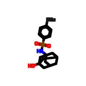 CSc1ccc(S(=O)(=O)NC23CC4CC(CC(O)(C4)C2)C3)cc1